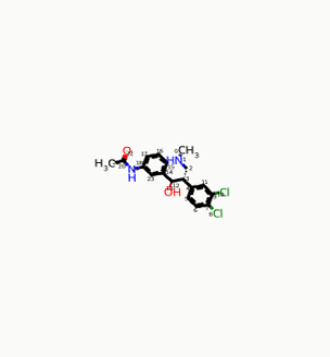 CNC[C@H](c1ccc(Cl)c(Cl)c1)[C@@H](O)c1cccc(NC(C)=O)c1